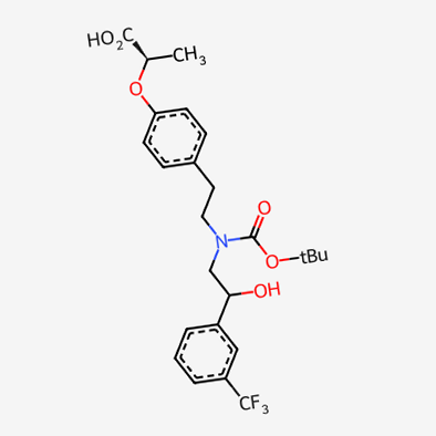 C[C@@H](Oc1ccc(CCN(CC(O)c2cccc(C(F)(F)F)c2)C(=O)OC(C)(C)C)cc1)C(=O)O